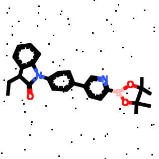 CCC1C(=O)N(c2ccc(-c3ccc(B4OC(C)(C)C(C)(C)O4)nc3)cc2)c2ccccc21